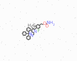 Cc1cc(CCOC(N)=O)cc(F)c1-c1nc2cnn(C(c3ccccc3)(c3ccccc3)c3ccccc3)c2cc1C#N